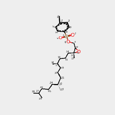 Cc1ccc(S(=O)(=O)OCC2O[C@]2(C)CCC[C@H](C)CCC[C@H](C)CCCC(C)C)cc1